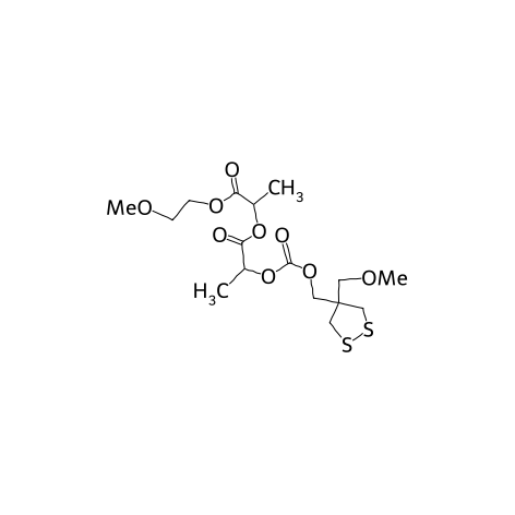 COCCOC(=O)C(C)OC(=O)C(C)OC(=O)OCC1(COC)CSSC1